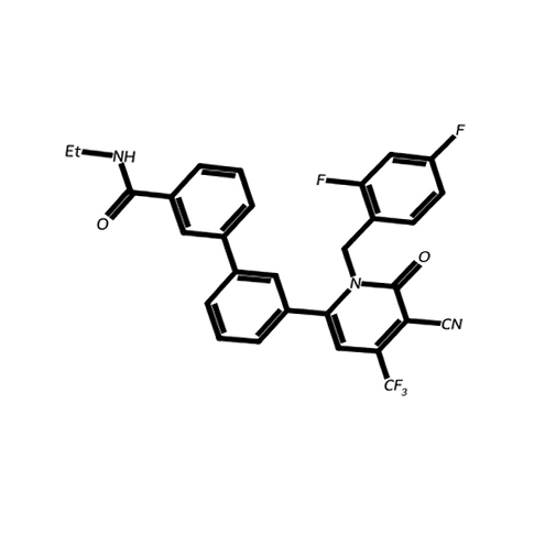 CCNC(=O)c1cccc(-c2cccc(-c3cc(C(F)(F)F)c(C#N)c(=O)n3Cc3ccc(F)cc3F)c2)c1